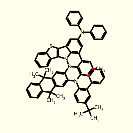 Cc1cc2c3c(c1)N(c1ccc(C(C)(C)C)cc1-c1ccccc1)c1cc4c(cc1B3n1c3c-2cc(N(c2ccccc2)c2ccccc2)cc3c2sc3ccccc3c21)C(C)(C)c1ccccc1C4(C)C